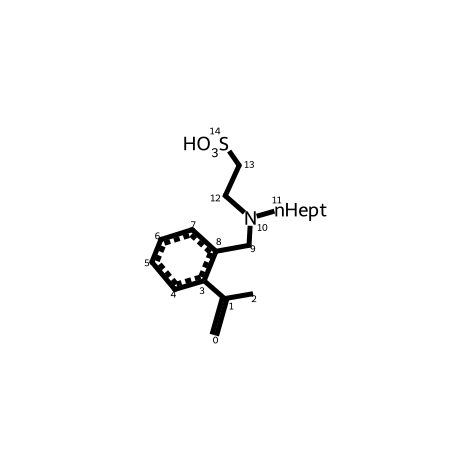 C=C(C)c1ccccc1CN(CCCCCCC)CCS(=O)(=O)O